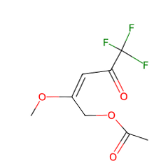 COC(=CC(=O)C(F)(F)F)COC(C)=O